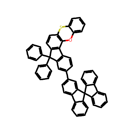 c1ccc(C2(c3ccccc3)c3cc(-c4ccc5c(c4)C4(c6ccccc6-c6ccccc64)c4ccccc4-5)ccc3-c3c2ccc2c3Oc3ccccc3S2)cc1